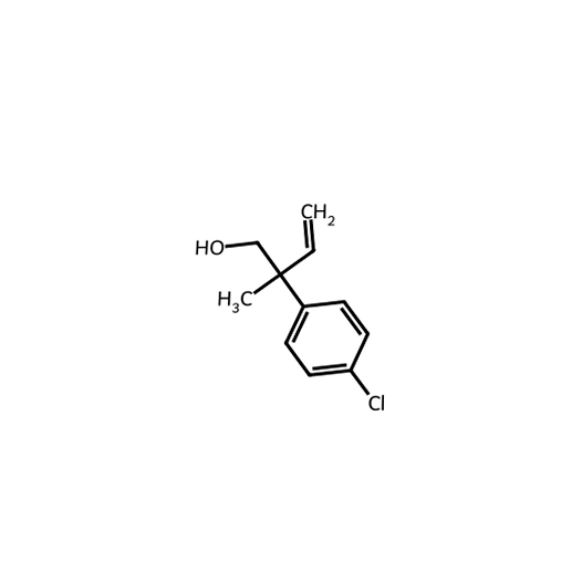 C=CC(C)(CO)c1ccc(Cl)cc1